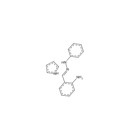 Nc1ccccc1C=NNc1ccccc1.c1cc[nH]c1